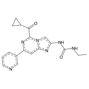 CCNC(=O)Nc1cn2c(C(=O)C3CC3)nc(-c3cccnc3)cc2n1